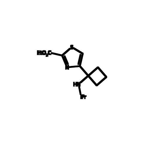 CCOC(=O)c1nc(C2(NC(C)C)CCC2)cs1